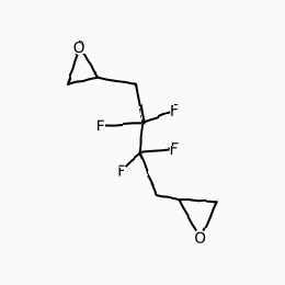 FC(F)(CC1CO1)C(F)(F)CC1CO1